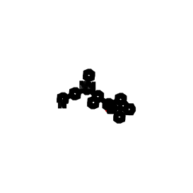 c1ccc(-c2nc(-c3ccc(-c4cccnc4)cc3)cc(-c3ccc(-c4cccc(-c5cccc6c5C(c5ccccc5)(c5ccccc5)c5ccccc5-6)c4)c4ccccc34)n2)cc1